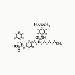 CCCCCCCN(CCc1ccc(C[C@H](SCc2ccccc2)C(=O)O)cc1)C(=O)Nc1ccc(C(C)C)cc1